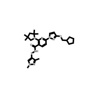 Cc1nn(C)cc1SNC(=O)c1ccc(-n2ccc(OCC3CCCC3)n2)nc1N1CC(C)(C)CC1(C)C